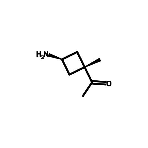 CC(=O)[C@]1(C)C[C@@H](N)C1